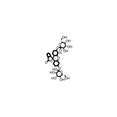 O=C1OC2(c3ccc(OC4(O)O[C@H](CO)[C@H](O)[C@H](O)[C@H]4O)cc3Oc3cc(OC4(O)O[C@H](CO)[C@H](O)[C@H](O)[C@H]4O)ccc32)c2ccccc21